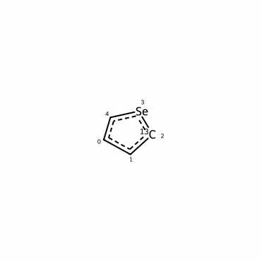 c1c[13cH][se]c1